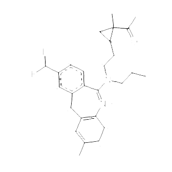 CCCN(CCC1CC1(C)C(C)=O)C1=NC2=C(C=C(C)CC2)Cc2cc(C(F)F)ccc21